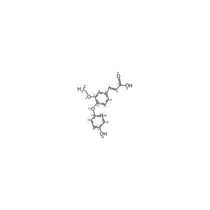 COc1cc(/C=C/C(=O)O)ccc1Oc1ccc(O)cn1